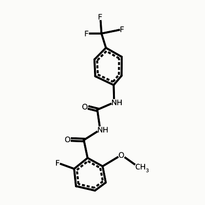 COc1cccc(F)c1C(=O)NC(=O)Nc1ccc(C(F)(F)F)cc1